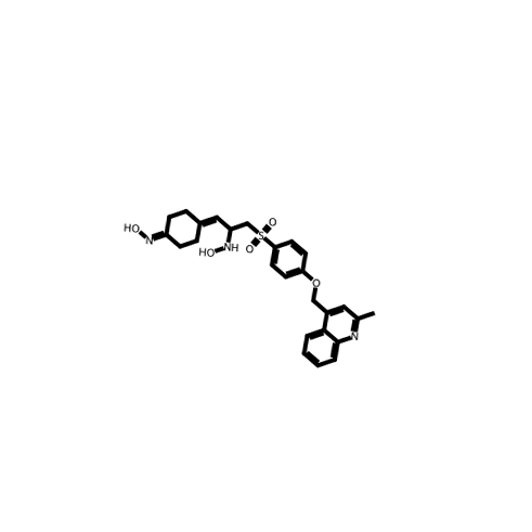 Cc1cc(COc2ccc(S(=O)(=O)CC(C=C3CCC(=NO)CC3)NO)cc2)c2ccccc2n1